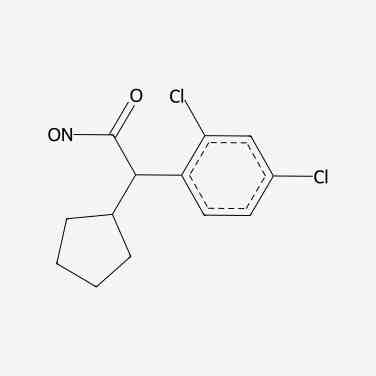 O=NC(=O)C(c1ccc(Cl)cc1Cl)C1CCCC1